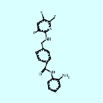 Nc1ccccc1NC(=O)c1ccc(CNc2nc(F)c(F)cc2F)cc1